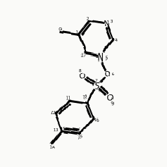 CC1=CN=[C]N(OS(=O)(=O)c2ccc(C)cc2)C1